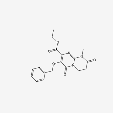 CCOC(=O)c1nc2n(c(=O)c1OCc1ccccc1)CCC(=O)N2C